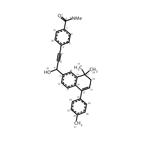 CNC(=O)c1ccc(C#CC(O)c2ccc3c(c2)C(C)(C)CC=C3c2ccc(C)cc2)cc1